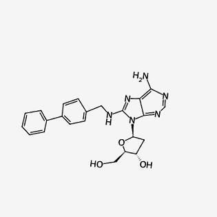 Nc1ncnc2c1nc(NCc1ccc(-c3ccccc3)cc1)n2[C@H]1C[C@H](O)[C@@H](CO)O1